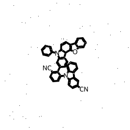 N#Cc1ccc2c(c1)c1ccccc1n2-c1cccc(C#N)c1-c1ccc2c(c1)N(c1ccccc1)C1C=Cc3c(oc4ccccc34)C21